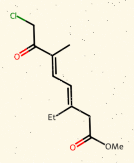 CC/C(=C\C=C(/C)C(=O)CCl)CC(=O)OC